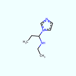 CCNC(CC)n1ccnc1